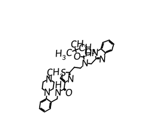 CN1CCN(c2ccccc2CNC(=O)c2csc(CCN(Cc3nc4ccccc4[nH]3)C(=O)OC(C)(C)C)n2)CC1